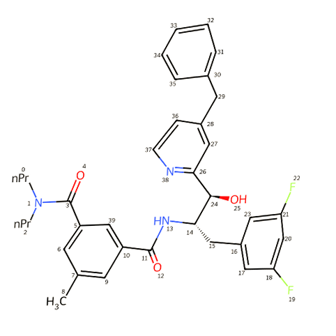 CCCN(CCC)C(=O)c1cc(C)cc(C(=O)N[C@@H](Cc2cc(F)cc(F)c2)[C@H](O)c2cc(Cc3ccccc3)ccn2)c1